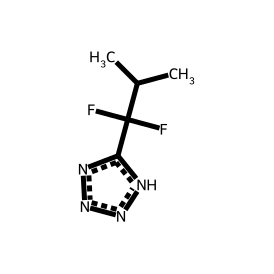 CC(C)C(F)(F)c1nnn[nH]1